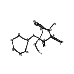 CN1C(=N)NC(CI)(CC2CCCCC2)C1=O